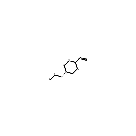 C=C[C@H]1CC[C@H](CCC)CC1